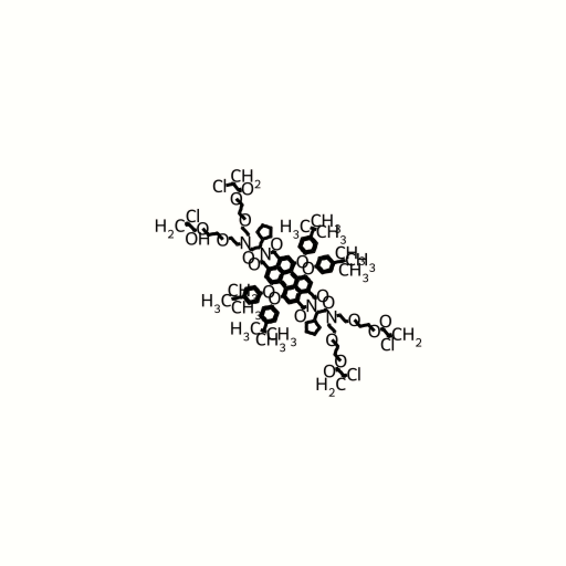 C=C(Cl)C(=O)OCCOCCN(CCOCCOC(=O)C(=C)Cl)C(=O)C(C1CCCC1)N1C(=O)c2cc(Oc3ccc(C(C)(C)C)cc3)c3c4c(Oc5ccc(C(C)(C)C)cc5)cc5c6c(cc(Oc7ccc(C(C)(C)C)cc7)c(c7c(Oc8ccc(C(C)(C)C)cc8)cc(c2c37)C1=O)c64)C(=O)N(C(C(=O)N(CCOCCOC(=O)C(=C)Cl)CCOCCOC(O)C(=C)Cl)C1CCCC1)C5=O